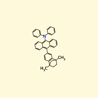 CC12CCC(C)(CC1)c1cc(-c3c4ccccc4c(N(c4ccccc4)c4ccccc4)c4ccccc34)ccc12